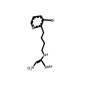 CNC(=C[N+](=O)[O-])NCCCCc1ncccc1Br